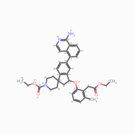 CCOC(=O)Cc1c(C)cccc1OC1CC2(CCN(C(=O)OCC)CC2)c2ccc(-c3cccc4c(N)nccc34)cc21